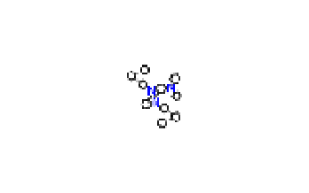 c1ccc(-c2ccccc2-c2ccc(-n3c4ccc(N(c5ccccc5)c5ccccc5)cc4c4c3c3ccccc3n4-c3ccc(-c4ccccc4-c4ccccc4)cc3)cc2)cc1